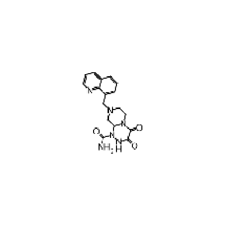 NC(=O)N1NC(=O)C(=O)N2CCN(Cc3cccc4cccnc34)CC21